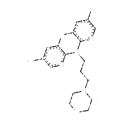 Brc1cnc2c(c1)Oc1cc(Br)cnc1N2CCCN1CCOCC1